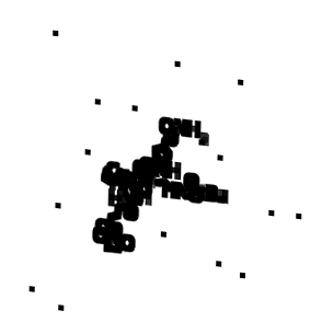 C[C@@H](NC(=O)CCCC(=O)ON1C(=O)CCC1=O)C(=O)N[C@@H](Cc1ccccc1)C(=O)N[C@@H](CCCCNC(=O)OC(C)(C)C)C(=O)Nc1ccc(COC(N)=O)cc1